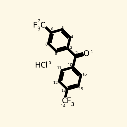 Cl.O=C(c1ccc(C(F)(F)F)cc1)c1ccc(C(F)(F)F)cc1